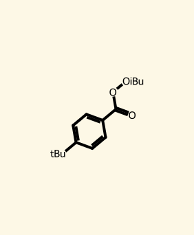 CC(C)[CH]OOC(=O)c1ccc(C(C)(C)C)cc1